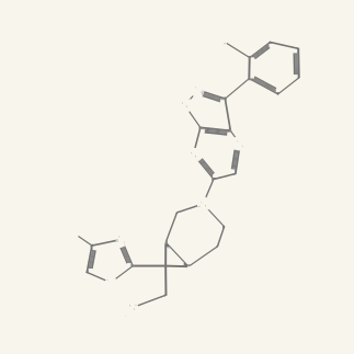 Cc1csc(C2(CN)C3CCN(c4cnc5c(-c6ccccc6Cl)n[nH]c5n4)CC32)n1